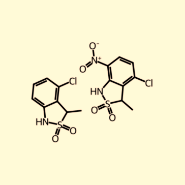 CC1c2c(Cl)ccc([N+](=O)[O-])c2NS1(=O)=O.CC1c2c(Cl)cccc2NS1(=O)=O